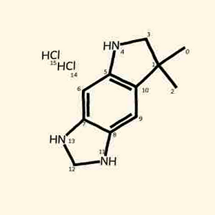 CC1(C)CNc2cc3c(cc21)NCN3.Cl.Cl